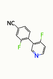 N#Cc1ccc(-c2cnccc2F)c(F)c1